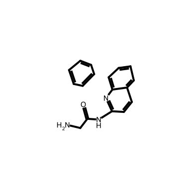 NCC(=O)Nc1ccc2ccccc2n1.c1ccccc1